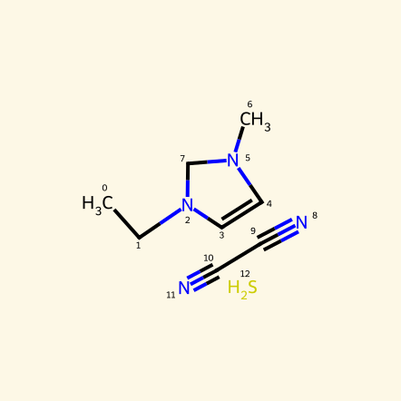 CCN1C=CN(C)C1.N#CC#N.S